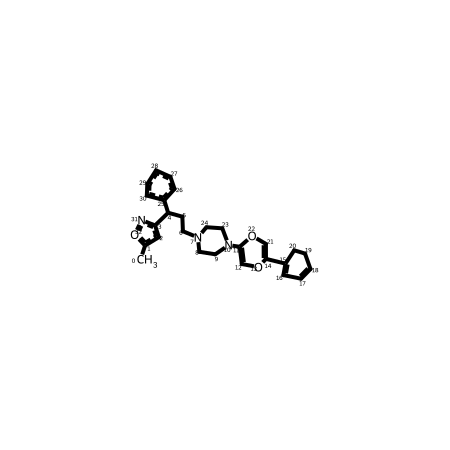 Cc1cc(C(CCN2CCN(C3=COC(C4=CC=CCC4)=CO3)CC2)c2ccccc2)no1